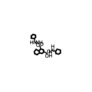 O=C(ONNc1ccccc1)c1cc(C(=O)ONNc2ccccc2)c2ccccc2c1